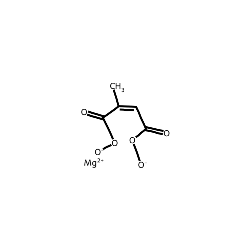 C/C(=C/C(=O)O[O-])C(=O)O[O-].[Mg+2]